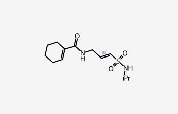 CC(C)NS(=O)(=O)/C=C/CNC(=O)C1=CCCCC1